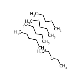 CCCCC.CCCCC.CCCCC.CCCCC.CCOCC